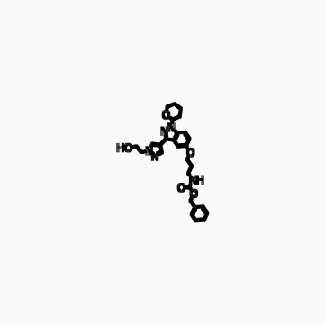 O=C(NCCCOc1ccc2c(c1)c(-c1cnn(CCO)c1)nn2C1CCCCO1)OCc1ccccc1